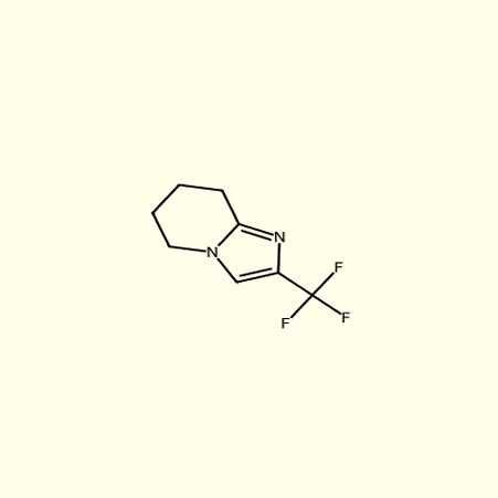 FC(F)(F)c1cn2c(n1)CCCC2